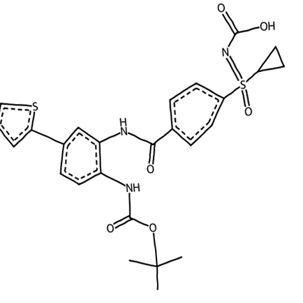 CC(C)(C)OC(=O)Nc1ccc(-c2cccs2)cc1NC(=O)c1ccc(S(=O)(=NC(=O)O)C2CC2)cc1